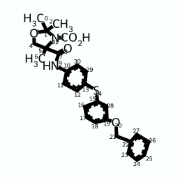 CC1(C)OCC(C)(C(=O)Nc2ccc(Sc3cccc(OCc4ccccc4)c3)cc2)N1C(=O)O